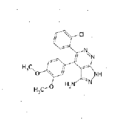 COc1ccc(-c2c(-c3ccccc3Cl)nnc3[nH]nc(N)c23)cc1OC